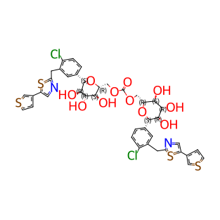 O=C(OC[C@H]1O[C@@H](c2ccc(Cl)c(Cc3ncc(-c4ccsc4)s3)c2)[C@H](O)[C@@H](O)[C@@H]1O)OC[C@H]1O[C@@H](c2ccc(Cl)c(Cc3ncc(-c4ccsc4)s3)c2)[C@H](O)[C@@H](O)[C@@H]1O